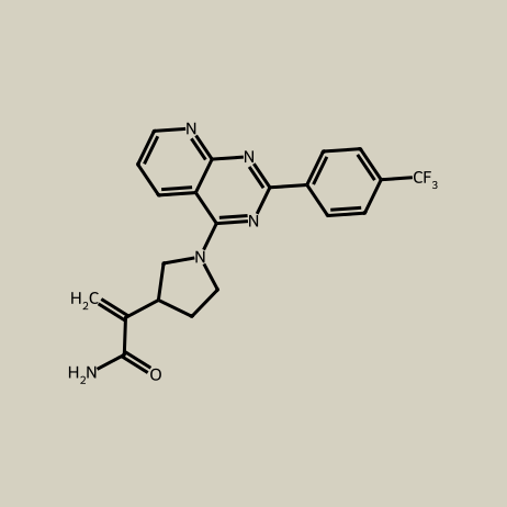 C=C(C(N)=O)C1CCN(c2nc(-c3ccc(C(F)(F)F)cc3)nc3ncccc23)C1